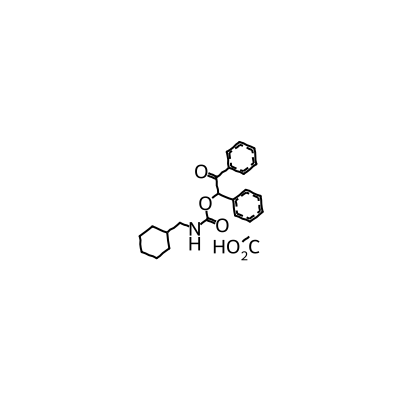 CC(=O)O.O=C(NCC1CCCCC1)OC(C(=O)c1ccccc1)c1ccccc1